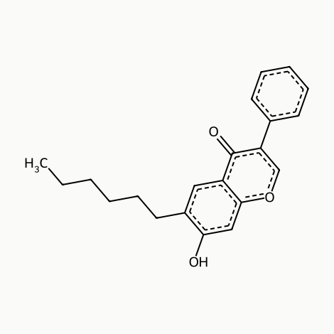 CCCCCCc1cc2c(=O)c(-c3ccccc3)coc2cc1O